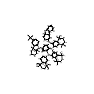 CC(C)(C)c1ccc2c(c1)C1(C)CCCCC1(C)N2c1cc2c3c(c1)N(c1ccc4oc5ccccc5c4c1)c1cc4c(cc1B3c1cc3c(cc1N2c1ccc2c(c1)C(C)(C)CCC2(C)C)C(C)(C)CCC3(C)C)C(C)(C)CCC4(C)C